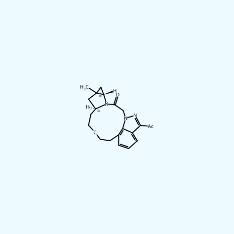 CC(=O)c1nn2c3c(cccc13)CCCCC[C@H]1CC3(C)C[C@@H]3N1C(=O)C2